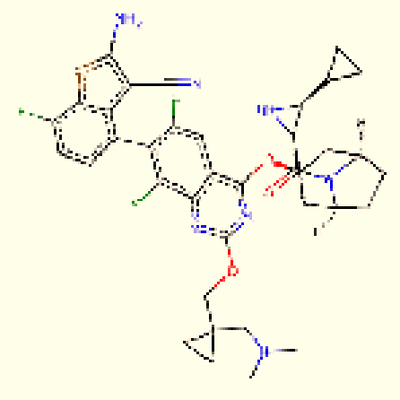 CN(C)CC1(COc2nc(O[C@H]3C[C@H]4CC[C@@H](C3)N4C(=O)[C@H]3N[C@H]3C3CC3)c3cc(Cl)c(-c4ccc(F)c5sc(N)c(C#N)c45)c(F)c3n2)CC1